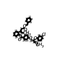 Cc1c(CC(=O)OCc2ccccc2)c2ccccc2n1C(=O)c1ccc(OC[C@@H]2CN(C)c3ccc(Cl)cc3O2)cc1